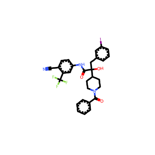 N#Cc1ccc(NC(=O)C(O)(Cc2cccc(I)c2)C2CCN(C(=O)c3ccccc3)CC2)cc1C(F)(F)F